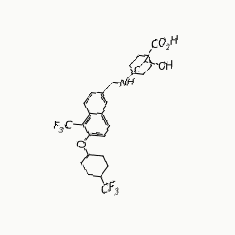 O=C(O)C12CCC(NCc3ccc4c(C(F)(F)F)c(OC5CCC(C(F)(F)F)CC5)ccc4c3)(CC1)CC2O